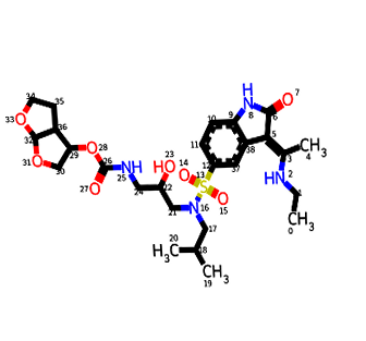 CCNC(C)=C1C(=O)Nc2ccc(S(=O)(=O)N(CC(C)C)CC(O)CNC(=O)OC3COC4OCCC34)cc21